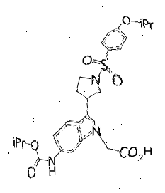 CC(C)OC(=O)Nc1ccc2c(C3CCN(S(=O)(=O)c4ccc(OC(C)C)cc4)C3)cn(CC(=O)O)c2c1